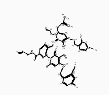 C=CCNC(=O)c1ccc(C)c(-n2c(C)cc(OCc3ccc(F)cc3F)c(Br)c2=O)c1.C=CCn1c(CC(=O)OC)cc(OCc2ccc(F)cc2F)c(Br)c1=O